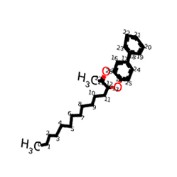 CCCCCCCCCCCCC(Oc1ccc(-c2ccccc2)cc1)C(C)=O